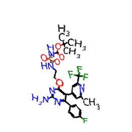 Cc1cc(-c2c(OCCNS(=O)(=O)NC(=O)OC(C)(C)C)nc(N)nc2-c2ccc(F)cc2)cc(C(F)(F)F)n1